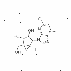 Cc1nc(Cl)nc2c1ncn2[C@H]1[C@H](O)[C@H](O)C2(CO)C[C@H]12